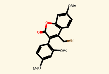 COc1ccc(-c2c(CBr)c3ccc(OC)cc3oc2=O)c(OC(C)=O)c1